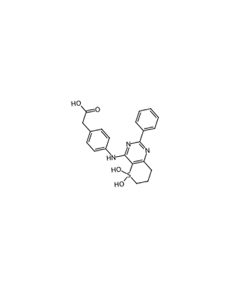 O=C(O)Cc1ccc(Nc2nc(-c3ccccc3)nc3c2S(O)(O)CCC3)cc1